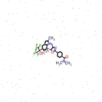 Cc1oc(-c2ccc(C(=O)N(C)C)cc2)nc1Cn1c(C)cc2cc(C(O)(C(F)(F)F)C(F)(F)F)ccc21